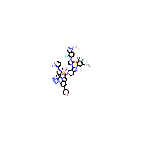 Cc1cc(-n2nc3c(c2-n2ccn(-c4ccc5c(cnn5C)c4F)c2=O)[C@H](C)N(C(=O)c2cc4cc(C5CCOCC5)ccc4n2C2(c4nnn[nH]4)[C@@H]4CN(C5=CC=CON5)C[C@@H]42)CC3)cc(C)c1F